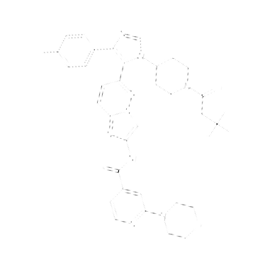 O=C(Nc1cn2nc(-c3c(-c4ccc(F)cc4)ncn3C3CCN(C(=O)CC(F)(F)F)CC3)ccc2n1)c1ccnc(N2CCOCC2)c1